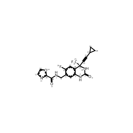 O=C1Nc2cc(CNC(=O)c3ncco3)c(F)cc2[C@@](C#CC2CC2)(C(F)(F)F)N1